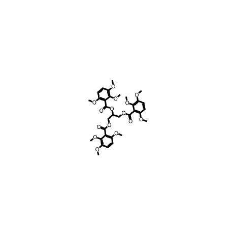 COc1ccc(OC)c(C(=O)OCC(COC(=O)c2c(OC)ccc(OC)c2OC)OC(=O)c2c(OC)ccc(OC)c2OC)c1OC